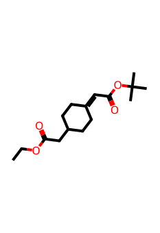 CCOC(=O)CC1CCC(=CC(=O)OC(C)(C)C)CC1